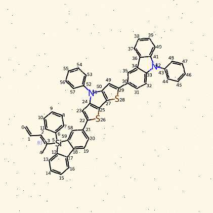 C=C/C=C(\C)[Si]1(c2ccccc2)c2ccccc2-c2ccc(-c3cc4c(s3)c3sc(-c5ccc6c(c5)c5ccccc5n6-c5ccccc5)cc3n4-c3ccccc3)cc21